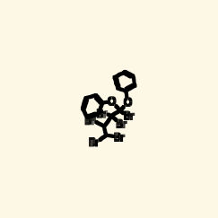 BrC(Br)C(Br)C(Br)(Br)C(Br)(Oc1ccccc1)Oc1ccccc1